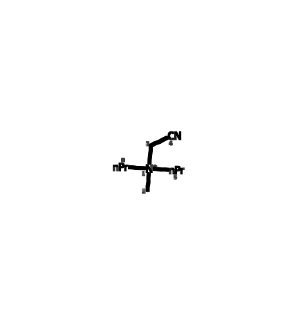 CCC[N+](C)(CC#N)CCC